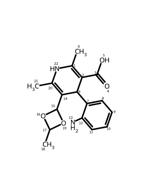 CC1=C(C(=O)O)C(c2ccccc2N)C(C2OC(C)O2)=C(C)N1